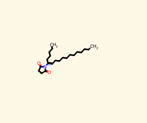 CCCCCCCCCCC/C=C(\CCCCC)N1C(=O)CCC1=O